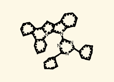 c1ccc(-c2nc(-c3ccccc3)nc(-n3c4ccccc4c4cc5c6ccccc6c6ccccc6n5c43)n2)cc1